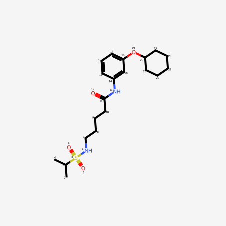 CC(C)S(=O)(=O)NCCCCC(=O)Nc1cccc(OC2CCCCC2)c1